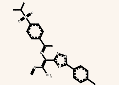 C=N/C(N)=C(\N=C(/C)c1ccc(S(=O)(=O)C(C)C)cc1)c1nnc(-c2ccc(CN(C)C)cc2)o1